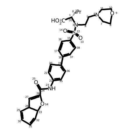 CC(C)[C@@H](C(=O)O)N(CCN1CCOCC1)S(=O)(=O)c1ccc(-c2ccc(NC(=O)C3=CC4C=CC=CC4O3)cc2)cc1